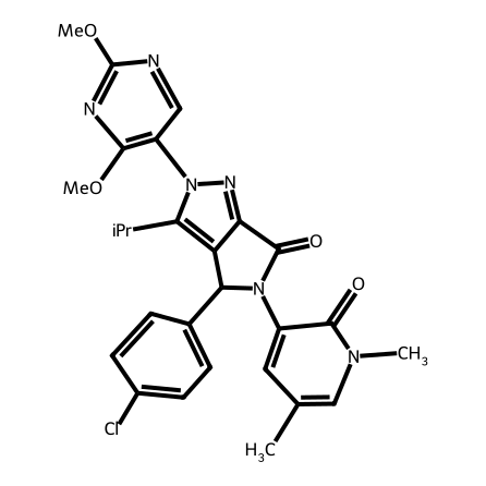 COc1ncc(-n2nc3c(c2C(C)C)C(c2ccc(Cl)cc2)N(c2cc(C)cn(C)c2=O)C3=O)c(OC)n1